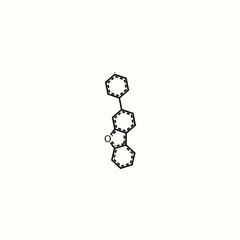 [c]1ccc(-c2ccc3c(c2)oc2ccccc23)cc1